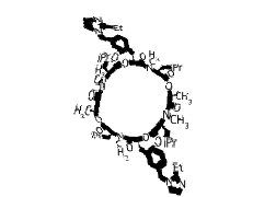 CCc1nccn1Cc1ccc(C[C@H]2OC(=O)[C@H](CC(C)C)N(C)C(=O)[C@@H](C)OC(=O)[C@H](CC(C)C)N(C)C(=O)[C@@H](Cc3cccc(Cn4ccnc4CC)c3)OC(=O)[C@H](CC(C)C)N(C)C(=O)[C@@H](C)OC(=O)[C@H](CC(C)C)N(C)C2=O)cc1